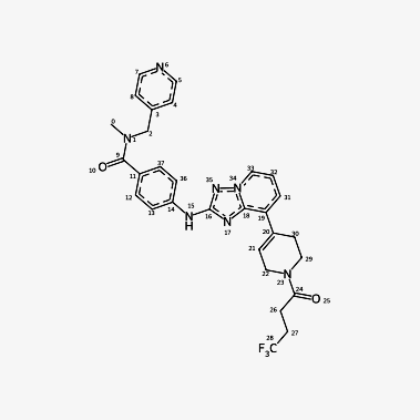 CN(Cc1ccncc1)C(=O)c1ccc(Nc2nc3c(C4=CCN(C(=O)CCC(F)(F)F)CC4)cccn3n2)cc1